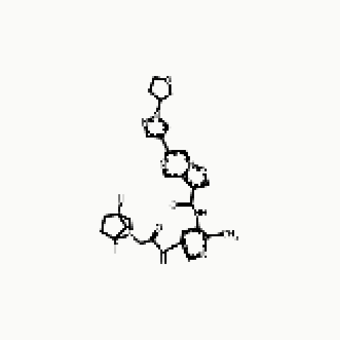 Cc1ncc(NC(=O)CN2C[C@H]3CC[C@@H]2C3)cc1NC(=O)c1cnn2cc(-c3cnn(C4CCOC4)c3)ncc12